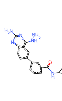 NNc1nc(N)nc2ccc(-c3cccc(C(=O)NC4CC4)c3)cc12